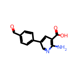 Nc1ncc(-c2ccc(C=O)cc2)cc1C(=O)O